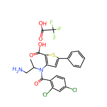 CC(CN)N(C(=O)c1ccc(Cl)cc1Cl)c1cc(-c2ccccc2)sc1C(=O)O.O=C(O)C(F)(F)F